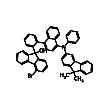 CC1(C)c2ccccc2-c2cc(N(c3ccccc3)c3ccc(-c4ccccc4C4(O)c5ccccc5-c5c(Br)cccc54)c4ccccc34)ccc21